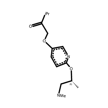 CNC[C@@H](C)Oc1ccc(OCC(=O)C(C)C)cn1